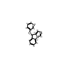 c1cncc(OC2c3ccccc3-n3cncc32)c1